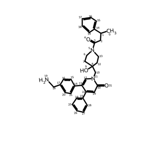 CC(CC(=O)N1CCC(O)(Cn2cc(-c3ccc(CN)cc3)c(-c3ccccc3)cc2=O)CC1)c1ccccc1